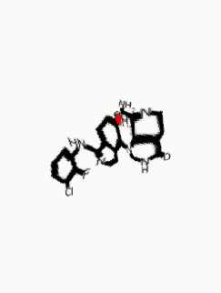 Cc1ccc2c(Nc3cccc(Cl)c3F)nccc2c1N1CNC(=O)c2ccnc(C(N)=O)c21